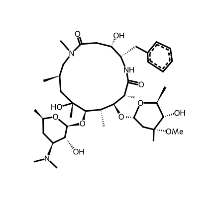 CO[C@]1(C)C[C@H](O[C@H]2[C@H](C)[C@@H](O[C@@H]3O[C@H](C)C[C@H](N(C)C)[C@H]3O)[C@](C)(O)C[C@@H](C)CN(C)C(=O)C[C@H](O)[C@H](Cc3ccccc3)NC(=O)[C@@H]2C)O[C@@H](C)[C@@H]1O